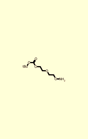 CC(C)(C)OC(=O)OCCOCCON